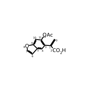 C=C(C(=O)O)c1cc2ccoc2cc1OC(C)=O